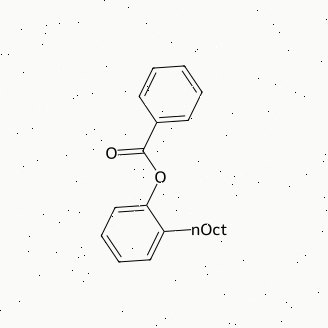 CCCCCCCCc1ccccc1OC(=O)c1ccccc1